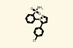 NS(=O)(=O)c1ccccc1-n1nccc1-c1ccc(Cl)cc1